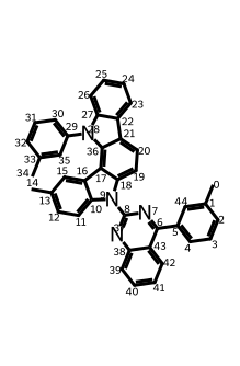 Cc1cccc(-c2nc(-n3c4ccc(C)cc4c4c3ccc3c5ccccc5n(-c5cccc(C)c5)c34)nc3ccccc23)c1